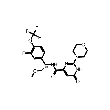 COC[C@@H](NC(=O)c1cc(=O)[nH]c(N2CCOCC2)n1)c1ccc(OC(F)(F)F)c(F)c1